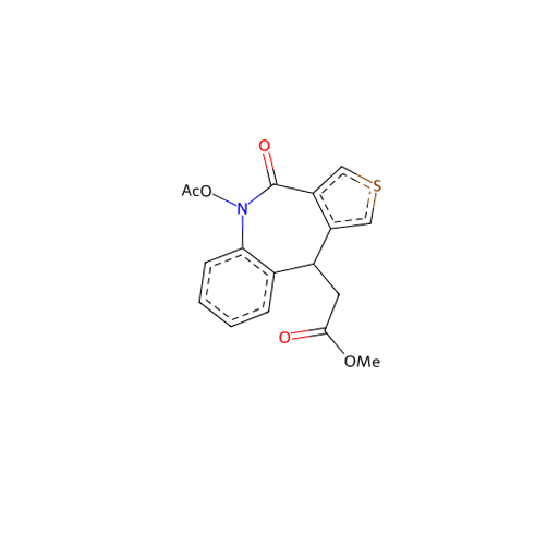 COC(=O)CC1c2cscc2C(=O)N(OC(C)=O)c2ccccc21